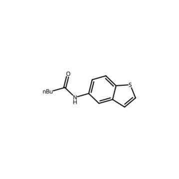 CCCCC(=O)Nc1ccc2sccc2c1